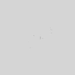 O=C(CCCCC(=O)ON1C(=O)CCC1=O)NCCO[C@H]1OC(CO)[C@@H](O)C(O[C@H]2OC(CO)[C@@H](O)C(O)C2O)C1O